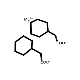 O=C([O-])CC1CCCCC1.O=C([O-])CC1CCCCC1.[Mg+2]